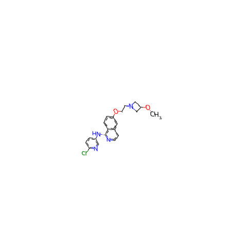 COC1CN(CCOc2ccc3c(Nc4ccc(Cl)nc4)nccc3c2)C1